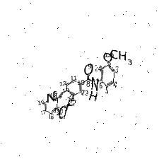 COc1cccc(NC(=O)c2ccc(-c3ncccc3Cl)c(F)c2)c1